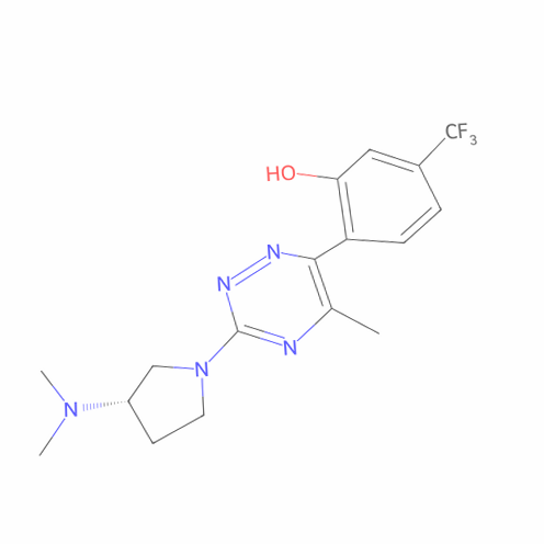 Cc1nc(N2CC[C@H](N(C)C)C2)nnc1-c1ccc(C(F)(F)F)cc1O